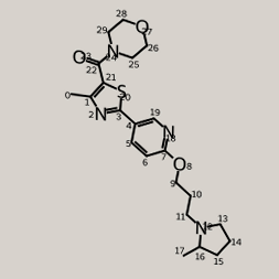 Cc1nc(-c2ccc(OCCCN3CCCC3C)nc2)sc1C(=O)N1CCOCC1